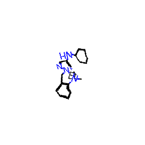 CC[N+]1(Cc2ccccc2N(C)C)C=C(NC2CCCCC2)C=N1